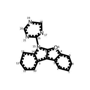 c1ccc2c(c1)oc1c2c2ccccc2n1-c1ncncn1